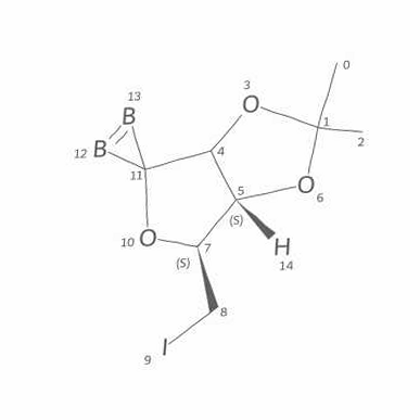 CC1(C)OC2[C@H](O1)[C@@H](CI)OC21B=B1